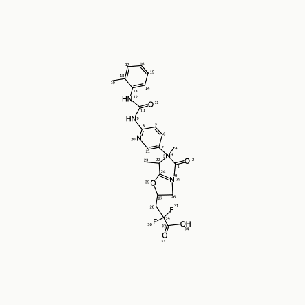 CC(=O)[N+](C)(c1ccc(NC(=O)Nc2ccccc2C)nc1)C(C)C1=NCC(CC(F)(F)C(=O)O)O1